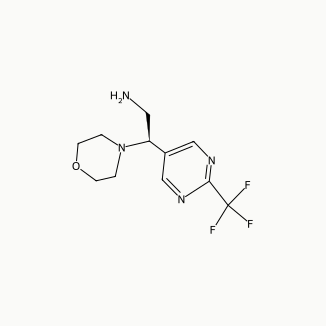 NC[C@@H](c1cnc(C(F)(F)F)nc1)N1CCOCC1